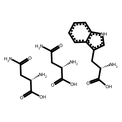 NC(=O)C[C@H](N)C(=O)O.NC(=O)C[C@H](N)C(=O)O.N[C@@H](Cc1c[nH]c2ccccc12)C(=O)O